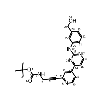 CC(C)(C)OC(=O)NCC#Cc1cc(-c2ccnc(Nc3cccc(CO)c3)n2)ccn1